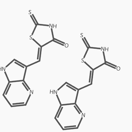 O=C1NC(=S)SC1=Cc1c[nH]c2cccnc12.O=C1NC(=S)SC1=Cc1c[nH]c2cccnc12